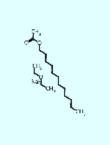 CCCCCCCCCCCCOC(C)=O.CCOCC.[NaH]